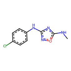 CNc1nc(Nc2ccc(Cl)cc2)no1